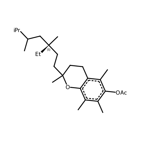 CC[C@@](C)(CCC1(C)CCc2c(C)c(OC(C)=O)c(C)c(C)c2O1)CC(C)C(C)C